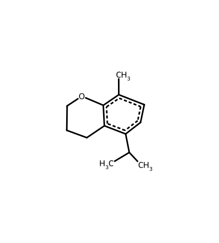 Cc1ccc(C(C)C)c2c1OCCC2